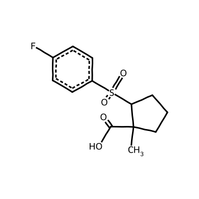 CC1(C(=O)O)CCCC1S(=O)(=O)c1ccc(F)cc1